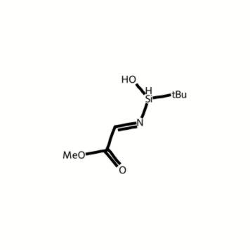 COC(=O)/C=N/[SiH](O)C(C)(C)C